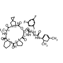 CC1=CC=C(NC(=O)N[C@@H](Cc2cc(F)cc(F)c2)C(=O)N[C@@H]2C(=O)N3CCC[C@H]3C(=O)N3CCCC[C@H]3C(=O)N[C@@H](C)C(=O)N3CC4(CC4)C[C@H]3C(=O)O[C@H]2C)C(C)C1